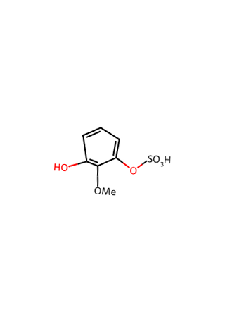 COc1c(O)cccc1OS(=O)(=O)O